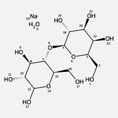 O.OC[C@H]1O[C@@H](O[C@H]2[C@H](O)[C@@H](O)C(O)O[C@@H]2CO)[C@H](O)[C@@H](O)[C@H]1O.[Na]